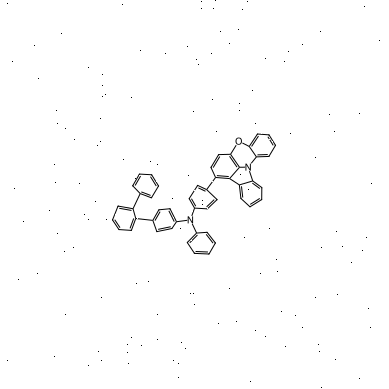 c1ccc(-c2ccccc2-c2ccc(N(c3ccccc3)c3ccc(-c4ccc5c6c4c4ccccc4n6-c4ccccc4O5)cc3)cc2)cc1